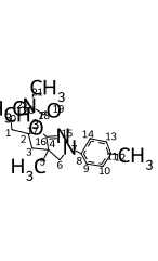 CCCCC1(C)CN(c2ccc(C)cc2)N=C1OC(=O)N(C)C